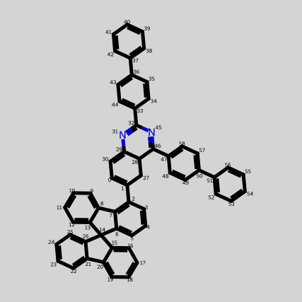 C1=C(c2cccc3c2-c2ccccc2C32c3ccccc3-c3ccccc32)CC2C(=C1)N=C(c1ccc(-c3ccccc3)cc1)N=C2c1ccc(-c2ccccc2)cc1